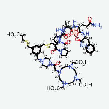 CCCCNC(=O)/N=C/C(CSCc1cc(CSCCC(=O)O)cc(CN2CCN(C(=O)CN3CCN(CC(=O)O)CCN(CC(=O)O)CCN(CC(=O)O)CC3)CC2)c1)C(=O)N1CCC[C@H]1C(=O)N1CCC[C@H]1C(=O)N[C@@H](CC)C(=O)N[C@@H](CCC(N)=O)C(O)N[C@@H](Cc1ccccc1)C(N)=O